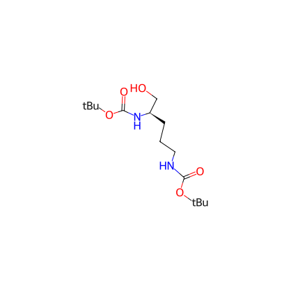 CC(C)(C)OC(=O)NCCC[C@H](CO)NC(=O)OC(C)(C)C